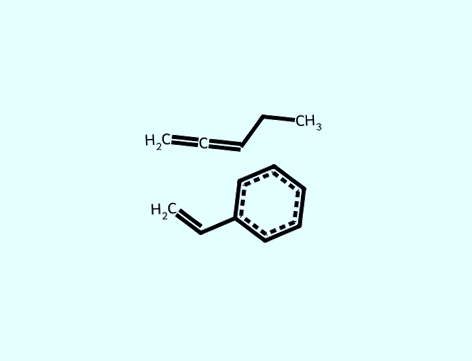 C=C=CCC.C=Cc1ccccc1